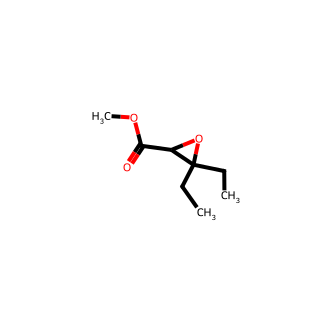 CCC1(CC)OC1C(=O)OC